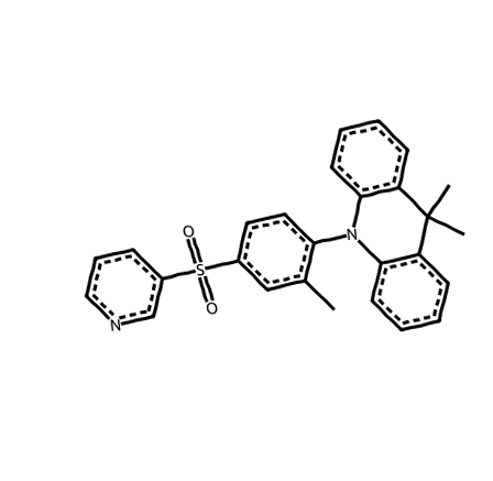 Cc1cc(S(=O)(=O)c2cccnc2)ccc1N1c2ccccc2C(C)(C)c2ccccc21